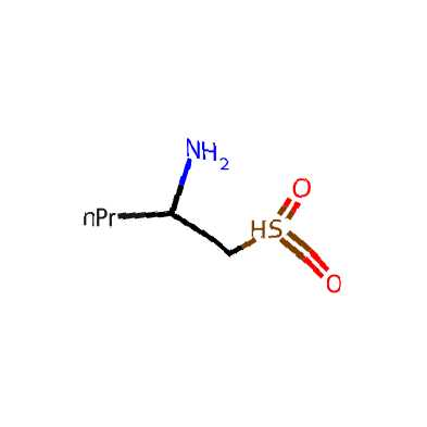 CCCC(N)C[SH](=O)=O